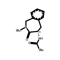 CC(C)(C)C(=O)N[C@H]1Cc2ccccc2CN(C(C)(C)C)C1=O